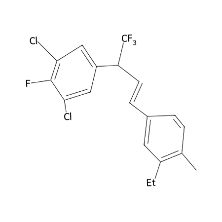 CCc1cc(/C=C/C(c2cc(Cl)c(F)c(Cl)c2)C(F)(F)F)ccc1C